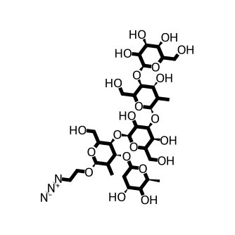 CC1[C@H](O[C@@H]2C(O)[C@H](O[C@@H]3C(CO)O[C@@H](OCCN=[N+]=[N-])C(C)[C@H]3OC3C[C@@H](O)C(O)[C@H](C)O3)OC(CO)[C@@H]2O)OC(CO)[C@@H](O[C@@H]2OC(CO)[C@H](O)[C@H](O)C2O)[C@@H]1O